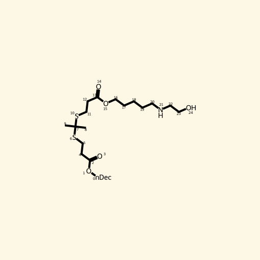 CCCCCCCCCCOC(=O)CCSC(C)(C)SCCC(=O)OCCCCCNCCO